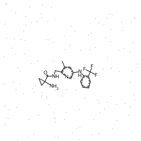 Cc1cc(Nc2ccccc2C(F)(F)F)cnc1CNC(=O)C1(N)CC1